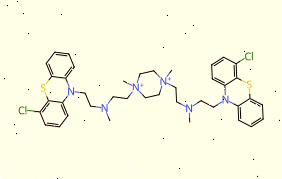 CN(CCN1c2ccccc2Sc2c(Cl)cccc21)CC[N+]1(C)CC[N+](C)(CCN(C)CCN2c3ccccc3Sc3c(Cl)cccc32)CC1